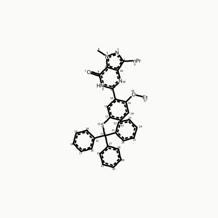 CCCc1nn(C)c2c(=O)[nH]c(-c3cc(SC(c4ccccc4)(c4ccccc4)c4ccccc4)ccc3OCC)nc12